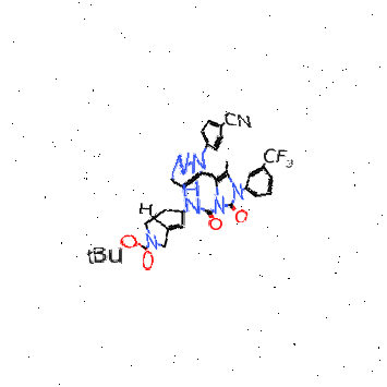 Cc1c(-c2ccnn2-c2ccc(C#N)cc2)n(C(=O)N[C@H]2C=C3CN(C(=O)OC(C)(C)C)C[C@H]3C2)c(=O)n1-c1cccc(C(F)(F)F)c1